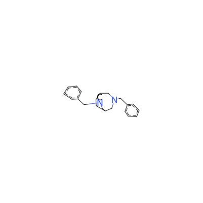 c1ccc(CN2CC3CCC(C2)CN(Cc2ccccc2)C3)cc1